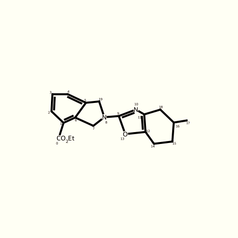 CCOC(=O)c1cccc2c1CN(c1nc3c(o1)CCC(C)C3)C2